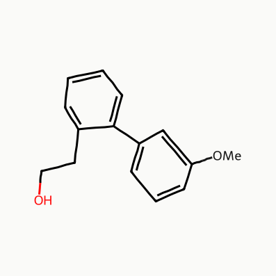 COc1cccc(-c2ccccc2CCO)c1